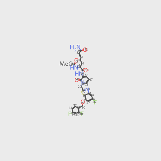 COC(=O)NC(CCC=CC(N)=O)C(=O)Nc1cccn(Cc2nc3cc(F)cc(OCc4ccc(F)cc4F)c3s2)c1=O